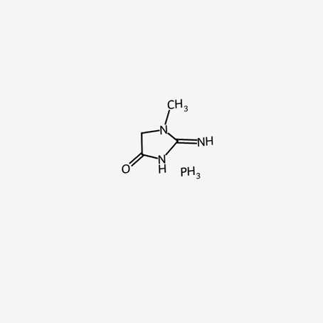 CN1CC(=O)NC1=N.P